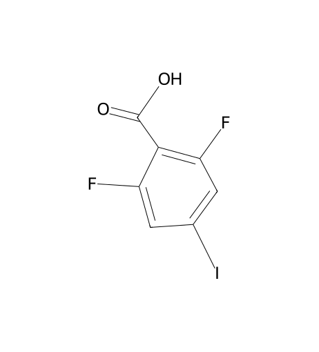 O=C(O)c1c(F)cc(I)cc1F